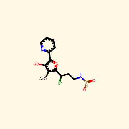 CC(=O)Oc1c(C(Br)CCN[SH](=O)=O)oc(-c2ccccn2)c1O